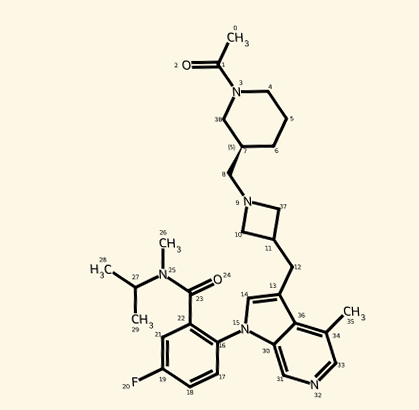 CC(=O)N1CCC[C@@H](CN2CC(Cc3cn(-c4ccc(F)cc4C(=O)N(C)C(C)C)c4cncc(C)c34)C2)C1